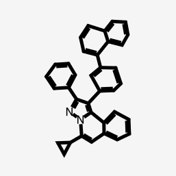 c1ccc(-c2nn3c(C4CC4)cc4ccccc4c3c2-c2cccc(-c3cccc4ccccc34)c2)cc1